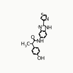 CC(C(=O)Nc1ccc2c(c1)[N+]=C(c1cscn1)N2)c1ccc(O)cc1